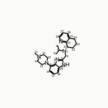 CC(C)N(Cc1nc2c(N3CCN(C)CC3)cccc2[nH]1)[C@H]1CCCc2cccnc21